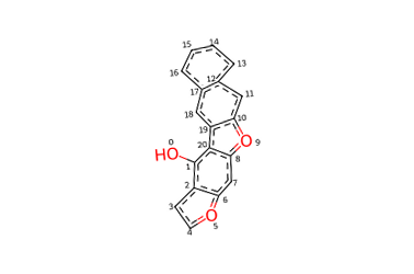 Oc1c2ccoc2cc2oc3cc4ccccc4cc3c12